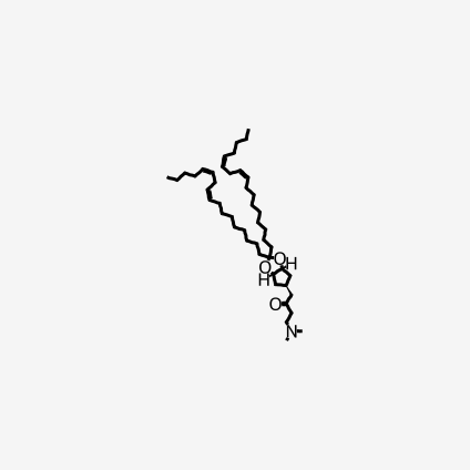 CCCC/C=C\C/C=C\CCCCCCCCC1(CCCCCCCC/C=C\C/C=C\CCCC)O[C@H]2C[C@H](CC(=O)CCN(C)C)C[C@H]2O1